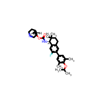 Cc1cc(-c2cc3c(cc2F)[C@H](NC(=O)O[C@@H]2CN4CCC2CC4)C(C)(C)CC3)cc(C)c1OC(C)C